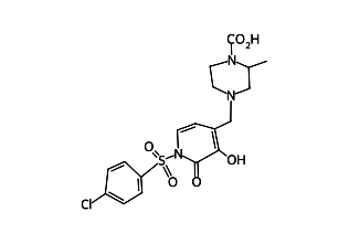 CC1CN(Cc2ccn(S(=O)(=O)c3ccc(Cl)cc3)c(=O)c2O)CCN1C(=O)O